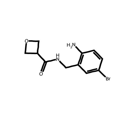 Nc1ccc(Br)cc1CNC(=O)C1COC1